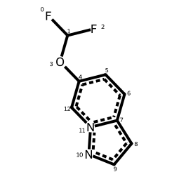 FC(F)Oc1ccc2ccnn2c1